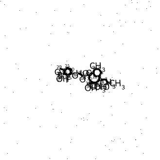 CC(=O)CC[C@]12CC[C@@H](C)[C@](C)(C1)[C@H](OC(=O)COc1ccc3c(c1F)B(O)OC3)C[C@@](C)(CO)[C@@H](O)[C@@H]2C